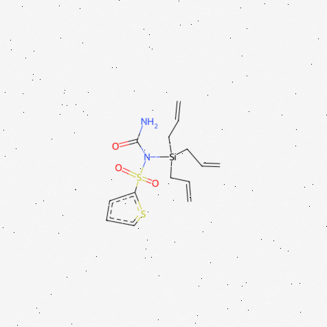 C=CC[Si](CC=C)(CC=C)N(C(N)=O)S(=O)(=O)c1cccs1